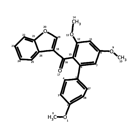 COc1ccc(-c2cc(OC)cc(OC)c2C(=O)c2coc3ccccc23)cc1